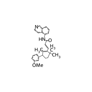 COc1cccc(C2CCC(C)(C)C(/C=C/C(=O)Nc3cccc4cnccc34)=C2C)c1